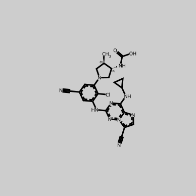 C[C@@H]1CN(c2cc(C#N)cc(Nc3nc(NC4CC4)c4ncc(C#N)n4n3)c2Cl)C[C@H]1NC(=O)O